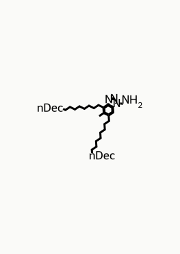 CCCCCCCCCCCCCCCCCCc1cc2c(nnn2CN)c(CCCCCCCCCCCCCCCCCC)c1C